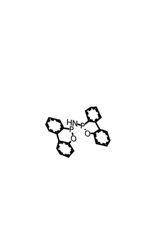 c1ccc2c(c1)OP(NP1Oc3ccccc3-c3ccccc31)c1ccccc1-2